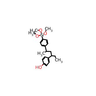 CCC(CC(C)c1ccc([Si](OC)(OC)OC)cc1)c1ccc(O)cc1